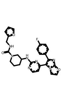 O=C(NCc1ccco1)N1CCCC(Nc2nccc(-c3c(-c4ccc(F)cc4)nc4occn34)n2)C1